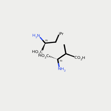 CC(C(=O)O)[C@H](N)C(=O)O.CC(C)C[C@H](N)C(=O)O